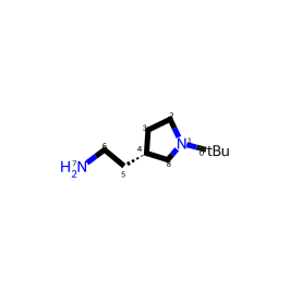 CC(C)(C)N1CC[C@@H](CCN)C1